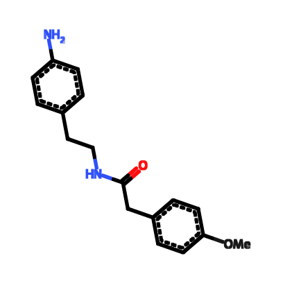 COc1ccc(CC(=O)NCCc2ccc(N)cc2)cc1